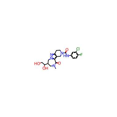 CN1CC(C(O)CO)Cn2nc3c(c2C1=O)CN(C(=O)Nc1ccc(F)c(Cl)c1)CC3